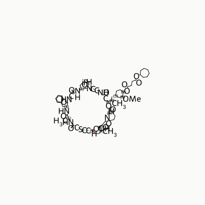 CO[C@@H]1C[C@H](C[C@@H](C)[C@@H]2CC(=O)NCCNC(=O)[C@H](CC(C)C)NC(=O)CNC(=O)[C@H](Cc3ccccc3)NC(=O)[C@H](C)NC(=O)CSCC[C@@H]3CC[C@@H](C)[C@@](O)(O3)C(=O)C(=O)N3CCCC[C@H]3C(=O)O2)CC[C@H]1OC(=O)CCC(=O)OC1CCCCCC1